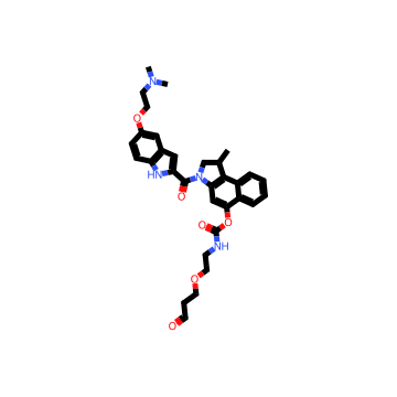 CC1CN(C(=O)c2cc3cc(OCCN(C)C)ccc3[nH]2)c2cc(OC(=O)NCCOCCC=O)c3ccccc3c21